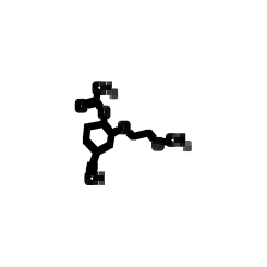 C#CC1CCC(OC(C)=O)C(OCCOC)C1